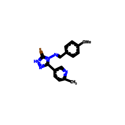 COc1ccc(C=Nn2c(-c3ccc(C)nc3)n[nH]c2=S)cc1